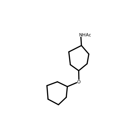 CC(=O)NC1CCC(OC2CCCCC2)CC1